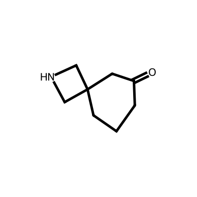 O=C1CCCC2(CNC2)C1